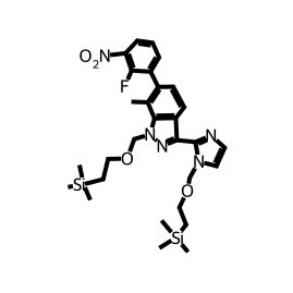 Cc1c(-c2cccc([N+](=O)[O-])c2F)ccc2c(-c3nccn3COCC[Si](C)(C)C)nn(COCC[Si](C)(C)C)c12